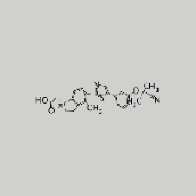 Cc1c(-c2ncc(-c3cccc(OC(C)(C)C#N)c3)s2)ccc2c1CC[C@@H]2CC(=O)O